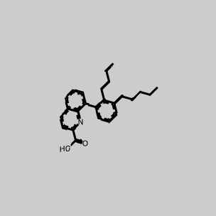 CCCCCc1cccc(-c2cccc3ccc(C(=O)O)nc23)c1CCCC